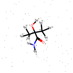 [2H]OC(C(=O)N([2H])[2H])(C([2H])([2H])[2H])C([2H])([2H])[2H]